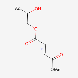 COC(=O)/C=C/C(=O)OCC(O)C(C)=O